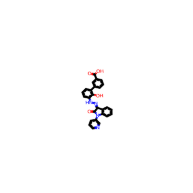 O=C(O)c1cccc(-c2cccc(N/N=C3\C(=O)N(c4cccnc4)c4ccccc43)c2O)c1